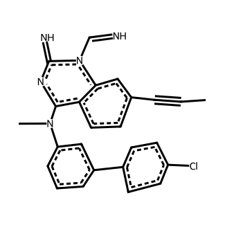 CC#Cc1ccc2c(N(C)c3cccc(-c4ccc(Cl)cc4)c3)nc(=N)n(C=N)c2c1